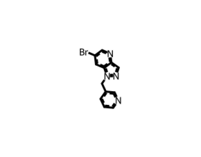 Brc1cnc2cnn(Cc3cccnc3)c2c1